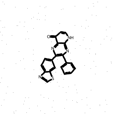 O=c1cc[nH]c2nc(-c3ccccc3)c(-c3ccc4ncsc4c3)nc12